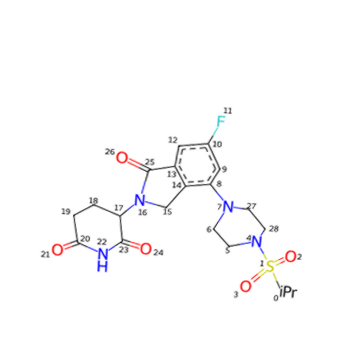 CC(C)S(=O)(=O)N1CCN(c2cc(F)cc3c2CN(C2CCC(=O)NC2=O)C3=O)CC1